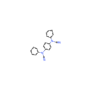 N#CN(c1ccccc1)c1ccc(N(C#N)c2ccccc2)cc1